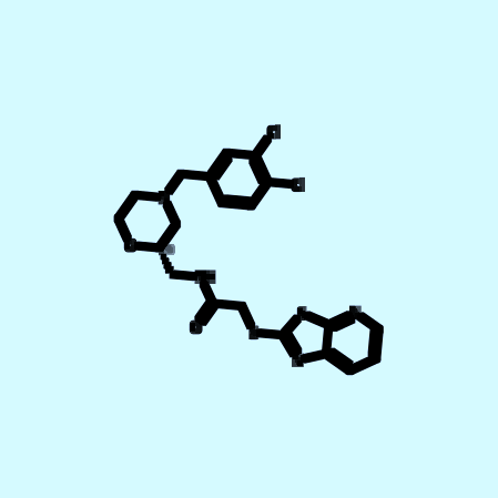 O=C(CSc1nc2cccnc2s1)NC[C@H]1CN(Cc2ccc(Cl)c(Cl)c2)CCO1